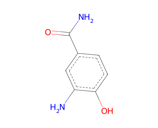 NC(=O)c1ccc(O)c(N)c1